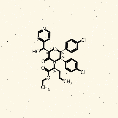 CCC[C@@H](C(=O)OCC)N1C(=O)[C@@H](C(O)c2ccncc2)O[C@H](c2ccc(Cl)cc2)[C@@H]1c1ccc(Cl)cc1